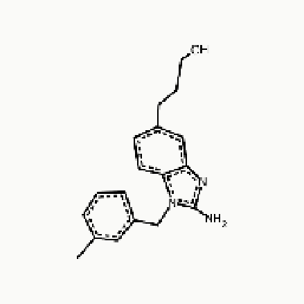 Cc1cccc(Cn2c(N)nc3cc(CCCO)ccc32)c1